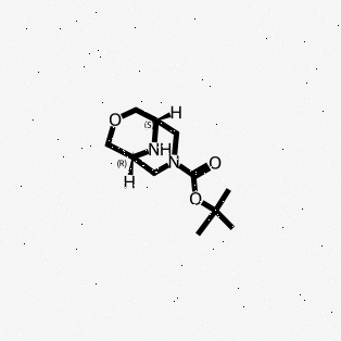 CC(C)(C)OC(=O)N1C[C@H]2COC[C@@H](C1)N2